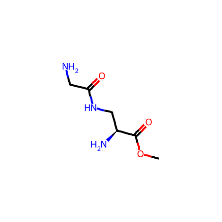 COC(=O)[C@@H](N)CNC(=O)CN